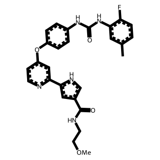 COCCNC(=O)c1c[nH]c(-c2cc(Oc3ccc(NC(=O)Nc4cc(C)ccc4F)cc3)ccn2)c1